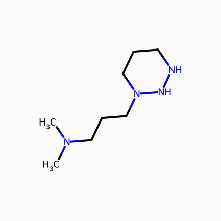 CN(C)CCCN1CCCNN1